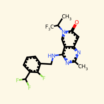 Cc1nc(NCc2cccc(C(F)F)c2F)c2cn(C(C)C(F)(F)F)c(=O)cc2n1